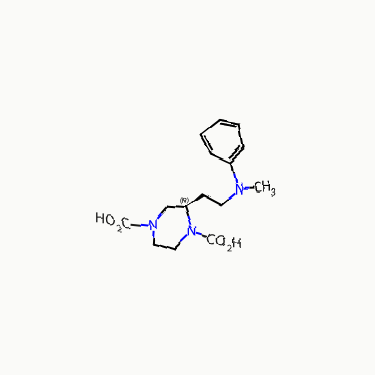 CN(CC[C@@H]1CN(C(=O)O)CCN1C(=O)O)c1ccccc1